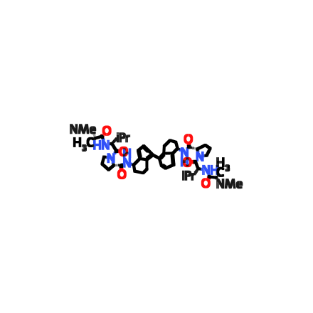 CN[C@@H](C)C(=O)N[C@H](C(=O)N1CCC[C@H]1C(=O)N[C@@H]1CCCc2c(-c3cccc4c3CCC[C@H]4NC(=O)[C@@H]3CCCN3C(=O)[C@@H](NC(=O)[C@H](C)NC)C(C)C)cccc21)C(C)C